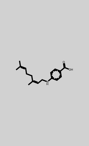 CC(C)=CCCC(C)=CCNc1ccc(C(=O)O)cc1